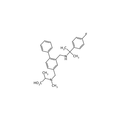 CC(C(=O)O)N(C)Cc1ccc(-c2ccccc2)c(CNC(C)(C)c2ccc(F)cc2)c1